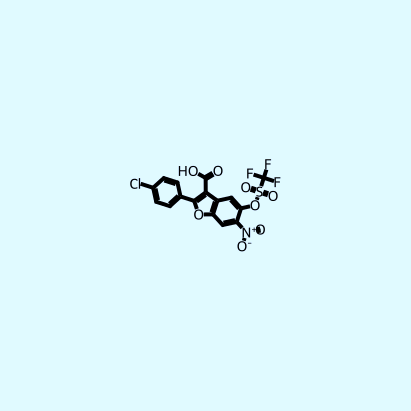 O=C(O)c1c(-c2ccc(Cl)cc2)oc2cc([N+](=O)[O-])c(OS(=O)(=O)C(F)(F)F)cc12